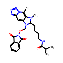 Cc1c2c(cc3nnnn13)N(CON1C(=O)c3ccccc3C1=O)C(CCCCNC(=O)C(C)C)N2C